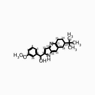 COc1cccc(C(O)c2cc3nc4c(cc3[nH]2)CC(C(C)(C)C)CC4)c1